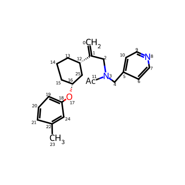 C=C(CN(Cc1ccncc1)C(C)=O)[C@H]1CCC[C@@H](Oc2cccc(C)c2)C1